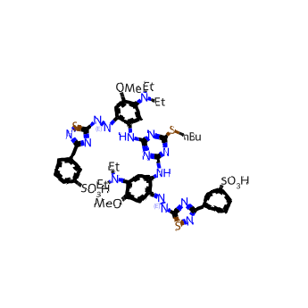 CCCCSc1nc(Nc2cc(N(CC)CC)c(OC)cc2/N=N/c2nc(-c3cccc(S(=O)(=O)O)c3)ns2)nc(Nc2cc(N(CC)CC)c(OC)cc2/N=N/c2nc(-c3cccc(S(=O)(=O)O)c3)ns2)n1